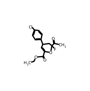 CCOC(=O)C1=CC(c2ccc(Cl)cc2)CC(F)(C(C)=O)O1